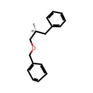 C[C@@H](COCc1ccccc1)Cc1ccccc1